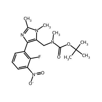 Cc1nc(-c2cccc([N+](=O)[O-])c2F)c(CN(C)C(=O)OC(C)(C)C)n1C